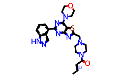 C/C=C/C(=O)N1CCN(Cc2nc3nc(-c4cccc5[nH]ncc45)nc(N4CCOCC4)c3s2)CC1